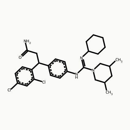 CC1CC(C)CN(/C(=N\C2CCCCC2)Nc2ccc(C(CC(N)=O)c3ccc(Cl)cc3Cl)cc2)C1